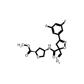 C=CC1(C(=O)N[C@H]2CO[C@@H](C(=O)OC)C2)CC(c2cc(F)cc(F)c2)=NO1